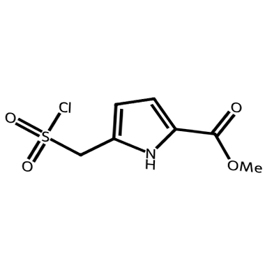 COC(=O)c1ccc(CS(=O)(=O)Cl)[nH]1